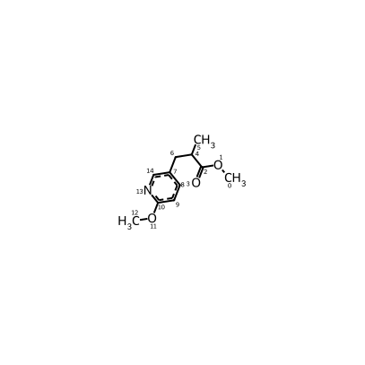 COC(=O)C(C)Cc1ccc(OC)nc1